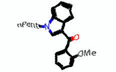 CCCCCn1cc(C(=O)c2ccccc2OC)c2ccccc21